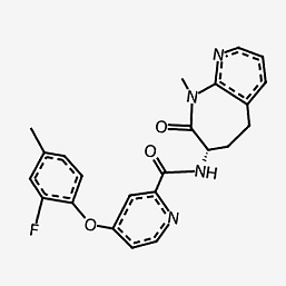 Cc1ccc(Oc2ccnc(C(=O)N[C@H]3CCc4cccnc4N(C)C3=O)c2)c(F)c1